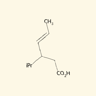 C/C=C/C(CC(=O)O)C(C)C